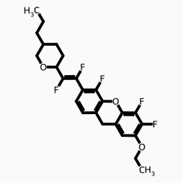 CCCC1CCC(/C(F)=C(\F)c2ccc3c(c2F)Oc2c(cc(OCC)c(F)c2F)C3)OC1